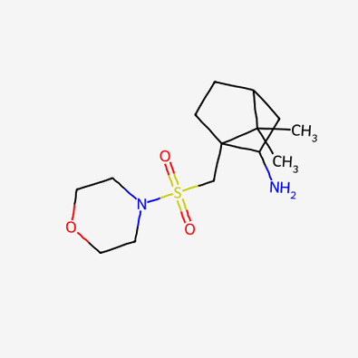 CC1(C)C2CCC1(CS(=O)(=O)N1CCOCC1)C(N)C2